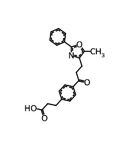 Cc1oc(-c2ccccc2)nc1CCC(=O)c1ccc(CCC(=O)O)cc1